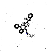 O=C(O)/C=C/CN1C(=O)[C@@H](NC(=O)c2cc3ccccc3[nH]2)N=C(c2ccccc2)c2ccccc21